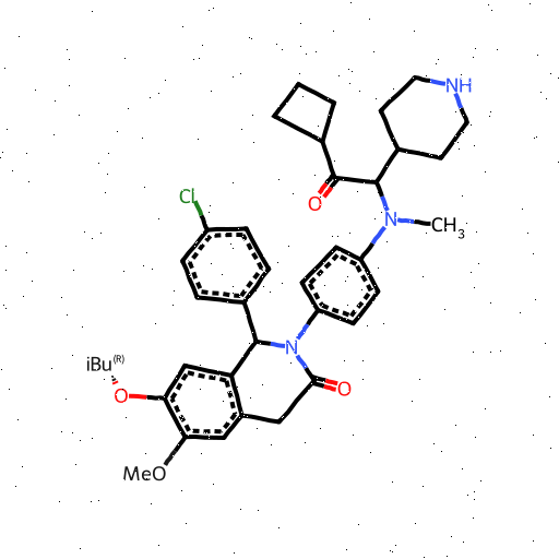 CC[C@@H](C)Oc1cc2c(cc1OC)CC(=O)N(c1ccc(N(C)C(C(=O)C3CCC3)C3CCNCC3)cc1)C2c1ccc(Cl)cc1